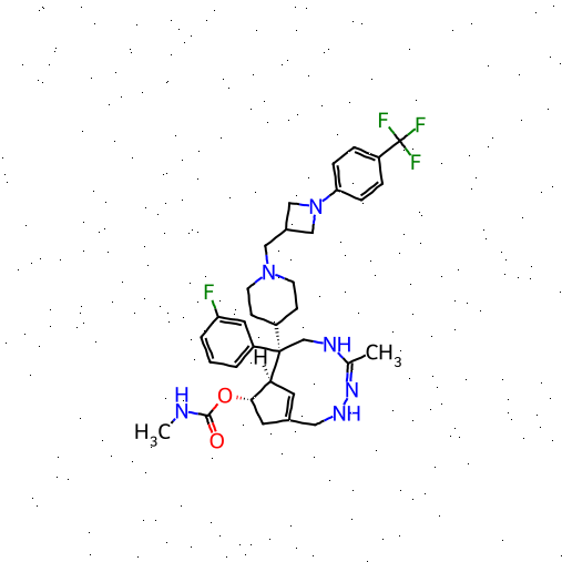 CNC(=O)O[C@H]1CC2=C[C@@H]1[C@](c1cccc(F)c1)(C1CCN(CC3CN(c4ccc(C(F)(F)F)cc4)C3)CC1)CN/C(C)=N\NC2